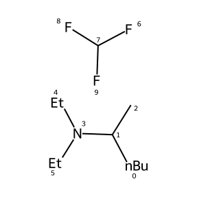 CCCCC(C)N(CC)CC.FC(F)F